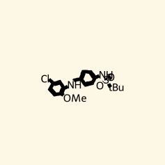 COc1ccc(Cl)cc1NCc1ccc(NS(=O)(=O)C(C)(C)C)cc1